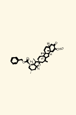 CC1=C2C[C@H]3[C@@H](CC[C@@H]4CC(=O)C(C=O)=C[C@@]43C)[C@@H]2CC[C@@]2(C1)O[C@@H]1C[C@H](C)CN(C(=O)OCc3ccccc3)[C@H]1[C@H]2C